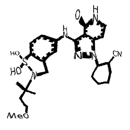 COCCC(C)(C)N1Cc2cc(Nc3nn(C4CCCCC4C#N)c4cc[nH]c(=O)c34)ccc2S1(O)O